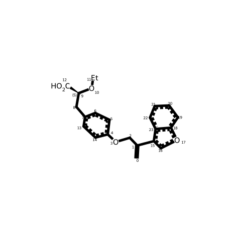 C=C(COc1ccc(C[C@H](OCC)C(=O)O)cc1)c1coc2ccccc12